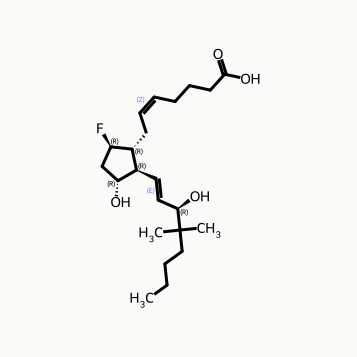 CCCCC(C)(C)[C@H](O)/C=C/[C@@H]1[C@@H](C/C=C\CCCC(=O)O)[C@H](F)C[C@H]1O